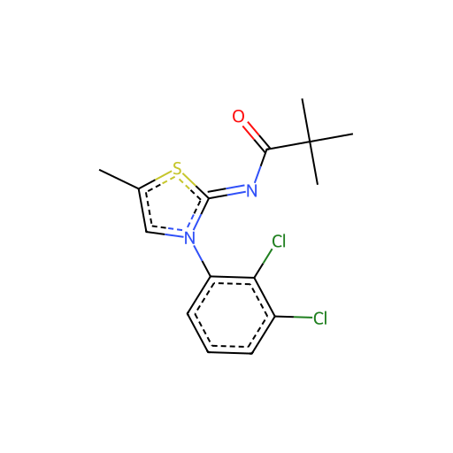 Cc1cn(-c2cccc(Cl)c2Cl)/c(=N/C(=O)C(C)(C)C)s1